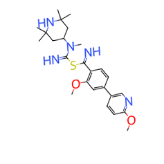 COc1ccc(-c2ccc(C(=N)SC(=N)N(C)C3CC(C)(C)NC(C)(C)C3)c(OC)c2)cn1